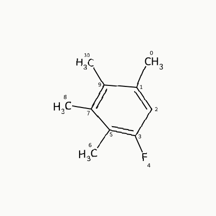 Cc1cc(F)c(C)c(C)c1C